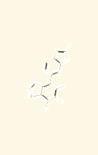 Cc1nc2ccc(-c3c(C)c(F)c(F)c4[nH]ncc34)nc2s1